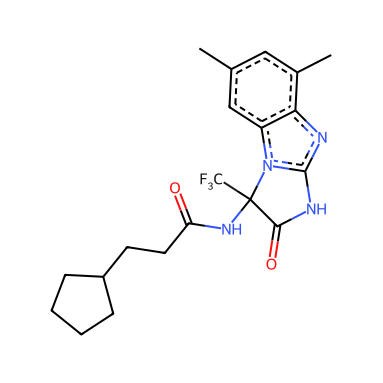 Cc1cc(C)c2nc3n(c2c1)C(NC(=O)CCC1CCCC1)(C(F)(F)F)C(=O)N3